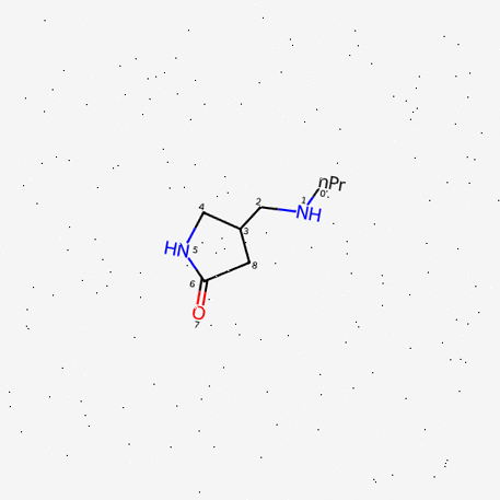 CCCNCC1CNC(=O)C1